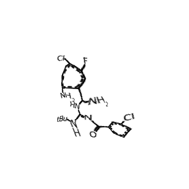 CC(C)(C)N/C(=N\C(=O)c1cccc(Cl)c1)NC(N)c1cc(F)c(Cl)cc1N